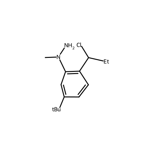 CCC(Cl)c1ccc(C(C)(C)C)cc1N(C)N